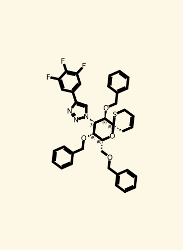 Fc1cc(-c2cn([C@H]3[C@@H](OCc4ccccc4)[C@@H](COCc4ccccc4)O[C@@]4(CC=CCS4)[C@@H]3OCc3ccccc3)nn2)cc(F)c1F